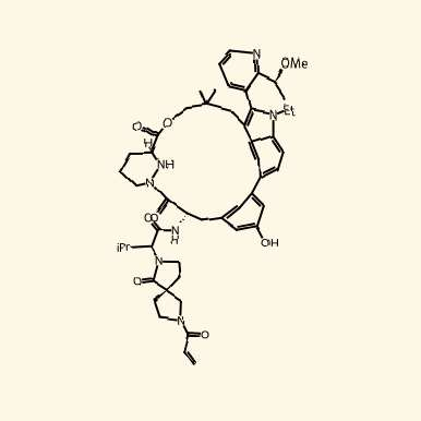 C=CC(=O)N1CC[C@@]2(CCN(C(C(=O)N[C@H]3Cc4cc(O)cc(c4)-c4ccc5c(c4)c(c(-c4cccnc4[C@H](C)OC)n5CC)CC(C)(C)COC(=O)[C@@H]4CCCN(N4)C3=O)C(C)C)C2=O)C1